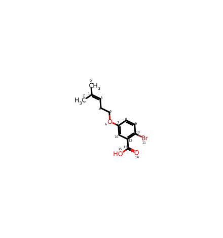 CC(C)=CCCOc1ccc(Br)c(C(=O)O)c1